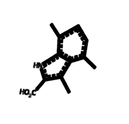 Cc1ccc(C)c2c(C)c(C(=O)O)[nH]c12